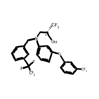 O[C@H](CN(Cc1cccc(C(F)(F)C(F)(F)F)c1)c1cccc(Oc2cccc(C(F)(F)F)c2)c1)C(F)(F)F